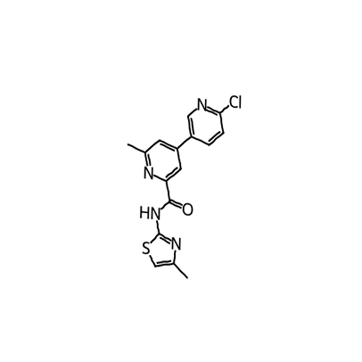 Cc1cc(-c2ccc(Cl)nc2)cc(C(=O)Nc2nc(C)cs2)n1